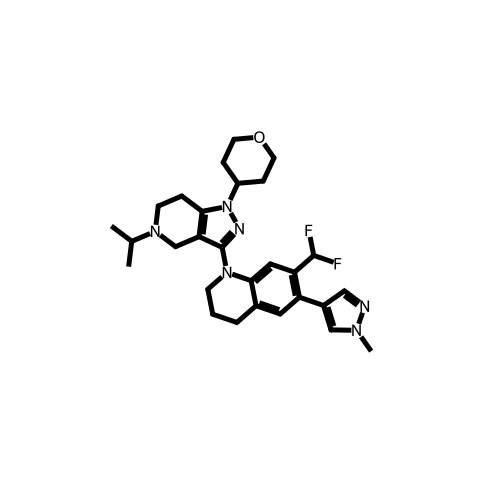 CC(C)N1CCc2c(c(N3CCCc4cc(-c5cnn(C)c5)c(C(F)F)cc43)nn2C2CCOCC2)C1